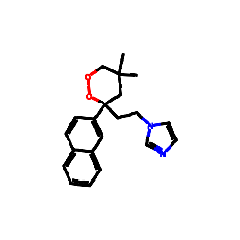 CC1(C)COOC(CCn2ccnc2)(c2ccc3ccccc3c2)C1